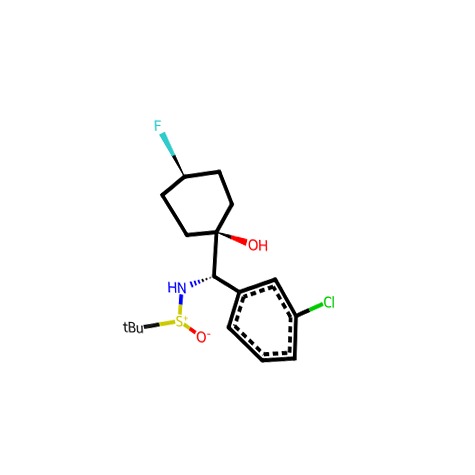 CC(C)(C)[S+]([O-])N[C@@H](c1cccc(Cl)c1)[C@]1(O)CC[C@@H](F)CC1